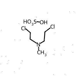 CN(CCCl)CCCl.O=S(=O)(O)O